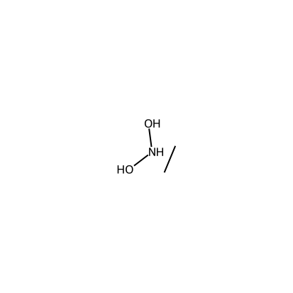 CC.ONO